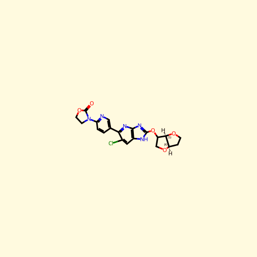 O=C1OCCN1c1ccc(-c2nc3nc(OC4CO[C@@H]5CCO[C@H]45)[nH]c3cc2Cl)cn1